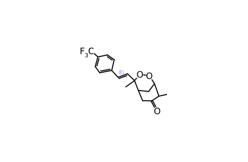 CC1C(=O)CC2CC1OOC2(C)/C=C/c1ccc(C(F)(F)F)cc1